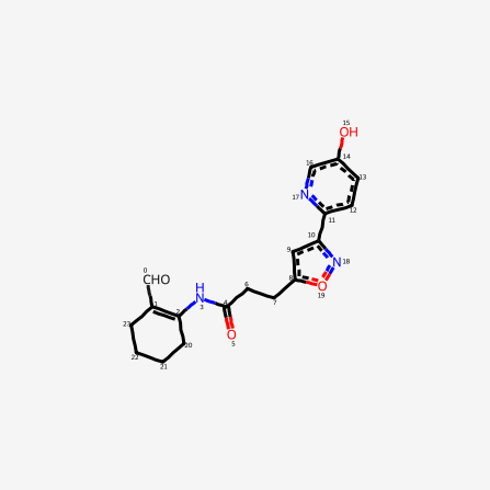 O=CC1=C(NC(=O)CCc2cc(-c3ccc(O)cn3)no2)CCCC1